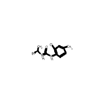 Cc1ccc(NC(=O)NC(C)C(C)C)c(Cl)c1